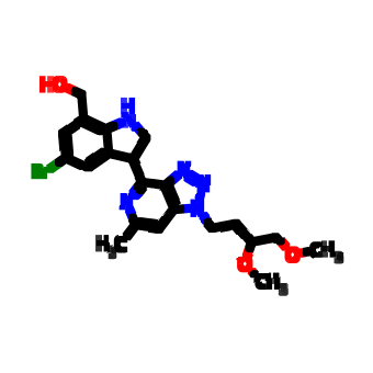 COCC(CCn1nnc2c(C3CNc4c(CO)cc(Br)cc43)nc(C)cc21)OC